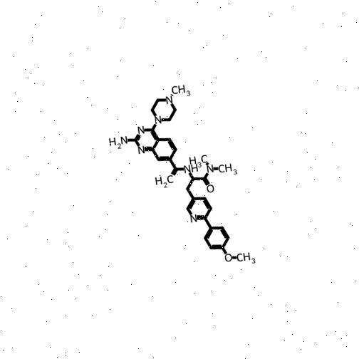 C=C(NC(Cc1ccc(-c2ccc(OC)cc2)nc1)C(=O)N(C)C)c1ccc2c(N3CCN(C)CC3)nc(N)nc2c1